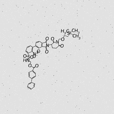 C[Si](C)(C)CCOCN1C(=O)CCC(N2C(=O)c3ccc(-c4cccc(S(=O)(=O)NCOC(=O)c5ccc(-c6ccccc6)cc5)c4[N+](=O)[O-])cc3C2=O)C1=O